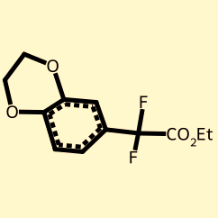 CCOC(=O)C(F)(F)c1ccc2c(c1)OCCO2